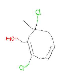 CC1(Cl)CC=CC(Cl)=C1O